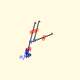 CCNCc1nc2c(N)nc3ccccc3c2n1CC(C)(C)OC(=O)CCCCCN(CCCCCCCCC(=O)OCCCCCCCC(C)C)CCCN(CCCCCCCCC(=O)OCCCCCCCC(C)C)CCCCCCCCC(=O)OCCCCCCCC(C)C